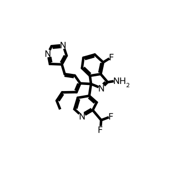 C\C=C/C=C(\C=C\c1cncnc1)C1(c2ccnc(C(F)F)c2)N=C(N)c2c(F)cccc21